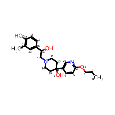 CCCOc1ccc(C2(O)CCN(CC(O)c3ccc(O)c(C)c3)CC2)cn1